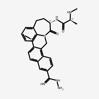 CN[C@@H](C)C(=O)N[C@H]1CCc2ccccc2N(Cc2c(OC)ccc3cc(C(=N)NN)ccc23)C1=O